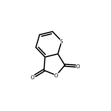 O=C1OC(=O)C2SC=CC=C12